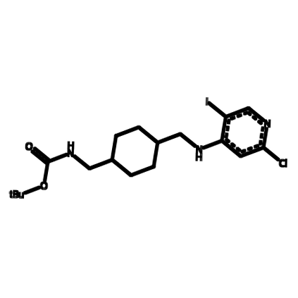 CC(C)(C)OC(=O)NCC1CCC(CNc2cc(Cl)ncc2I)CC1